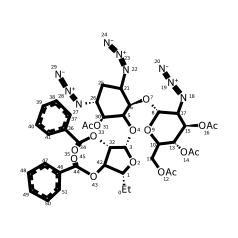 CC[C@H]1O[C@@H](OC2[C@H](O[C@H]3OC(COC(C)=O)[C@@H](OC(C)=O)[C@H](OC(C)=O)C3N=[N+]=[N-])C(N=[N+]=[N-])C[C@@H](N=[N+]=[N-])[C@H]2OC(C)=O)[C@@H](OC(=O)c2ccccc2)C1OC(=O)c1ccccc1